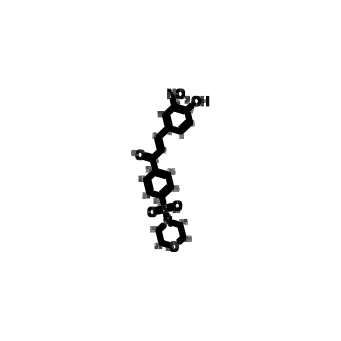 O=C(/C=C/c1ccc(O)c([N+](=O)[O-])c1)c1ccc(S(=O)(=O)N2CCOCC2)cc1